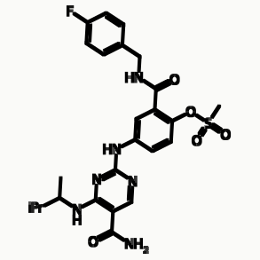 CC(C)C(C)Nc1nc(Nc2ccc(OS(C)(=O)=O)c(C(=O)NCc3ccc(F)cc3)c2)ncc1C(N)=O